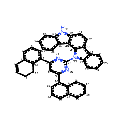 C1=Cc2cccc(-c3cc(-c4cccc5ccccc45)nc(-n4c5ccccc5c5ccc6[nH]c7ccccc7c6c54)n3)c2CC1